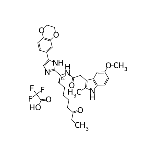 CCC(=O)CCCCC[C@H](NC(=O)Cc1c(C)[nH]c2ccc(OC)cc12)c1ncc(-c2ccc3c(c2)OCCO3)[nH]1.O=C(O)C(F)(F)F